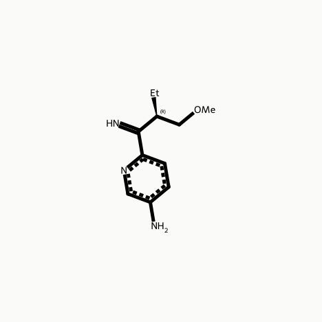 CC[C@@H](COC)C(=N)c1ccc(N)cn1